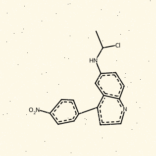 CC(Cl)Nc1ccc2nccc(-c3ccc([N+](=O)[O-])cc3)c2c1